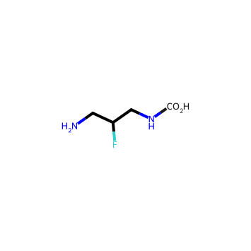 NCC(F)CNC(=O)O